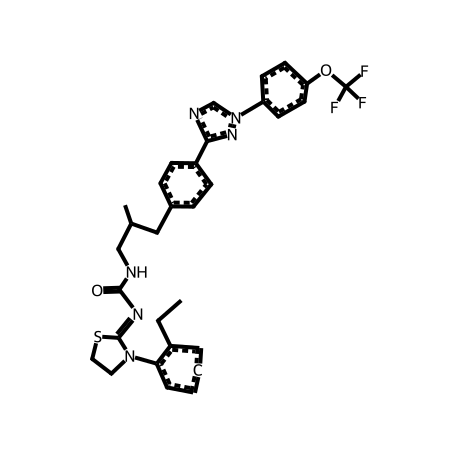 CCc1ccccc1N1CCS/C1=N\C(=O)NCC(C)Cc1ccc(-c2ncn(-c3ccc(OC(F)(F)F)cc3)n2)cc1